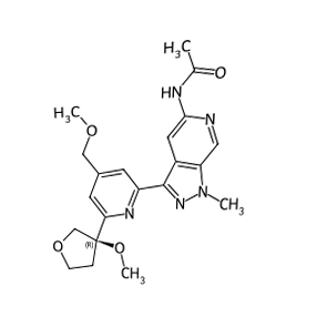 COCc1cc(-c2nn(C)c3cnc(NC(C)=O)cc23)nc([C@]2(OC)CCOC2)c1